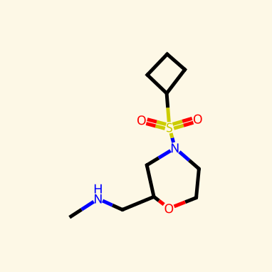 CNCC1CN(S(=O)(=O)C2CCC2)CCO1